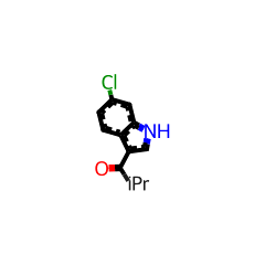 CC(C)C(=O)c1c[nH]c2cc(Cl)ccc12